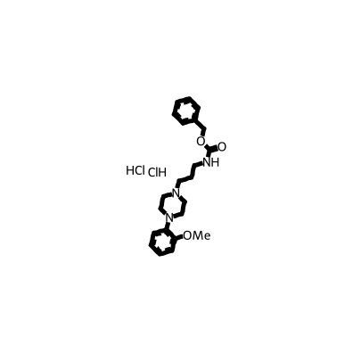 COc1ccccc1N1CCN(CCCNC(=O)OCc2ccccc2)CC1.Cl.Cl